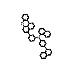 c1cc(-c2ccc3c4c(cccc24)-c2ccccc2O3)cc(N(c2ccc(-c3cccc4ccccc34)cc2)c2cccc3ccccc23)c1